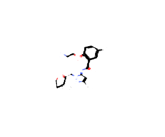 Cn1c(C(C)(C)C)c/c(=N\C(=O)c2cc(C(F)(F)F)ccc2OCCN)n1C[C@H]1CCCO1